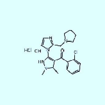 CC1C(C(=O)c2ccccc2Cl)=C(n2ccnc2CN2CCCC2)NN1C.Cl.Cl